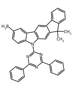 Bc1ccc2c(c1)c1cc3c(cc1n2-c1nc(-c2ccccc2)nc(-c2ccccc2)n1)C(C)(C)c1ccccc1-3